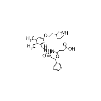 Cc1cc(OCCC2CCCNC2)cc(CNC(=O)[C@H](CCc2ccccc2)NC(=O)CCC(=O)O)c1C